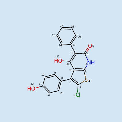 O=c1[nH]c2sc(Cl)c(-c3ccc(O)cc3)c2c(O)c1-c1ccccc1